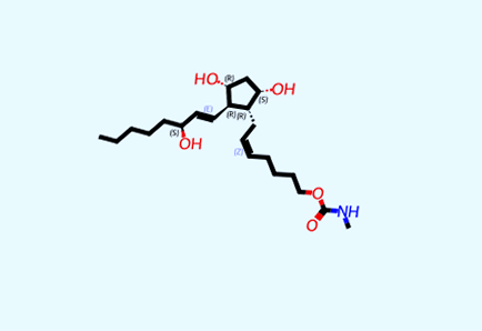 CCCCC[C@H](O)/C=C/[C@@H]1[C@@H](C/C=C\CCCCOC(=O)NC)[C@@H](O)C[C@H]1O